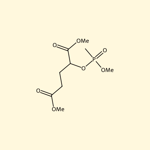 COC(=O)CCC(OP(C)(=O)OC)C(=O)OC